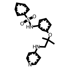 CC(C)(CNc1ccncc1)Oc1cccc(NS(=O)(=O)c2ccccc2)c1